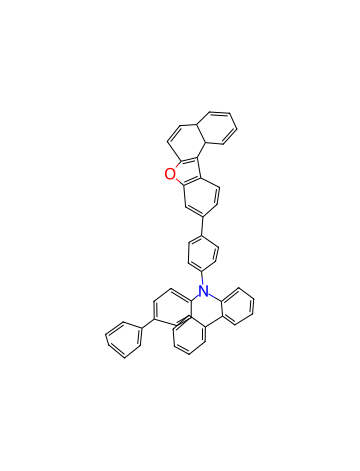 C1=CC2C=Cc3oc4cc(-c5ccc(N(c6ccc(-c7ccccc7)cc6)c6ccccc6-c6ccccc6)cc5)ccc4c3C2C=C1